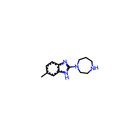 Cc1ccc2nc(N3CCCNCC3)[nH]c2c1